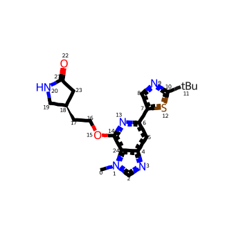 Cn1cnc2cc(-c3cnc(C(C)(C)C)s3)nc(OCC[C@H]3CNC(=O)C3)c21